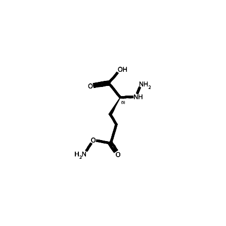 NN[C@@H](CCC(=O)ON)C(=O)O